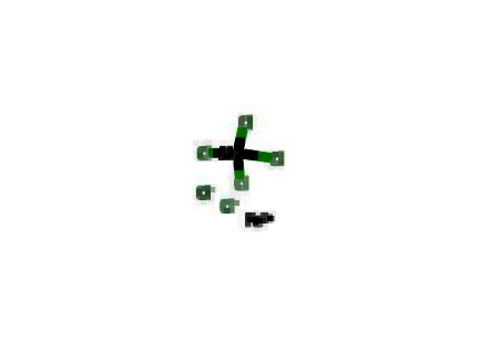 [Cl-].[Cl-].[Cl][Mo]([Cl])([Cl])[Cl].[Fe+2]